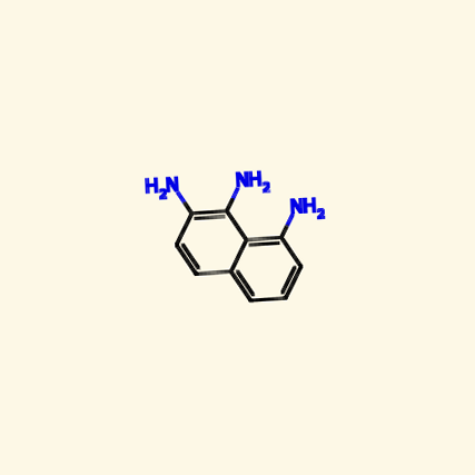 Nc1ccc2cccc(N)c2c1N